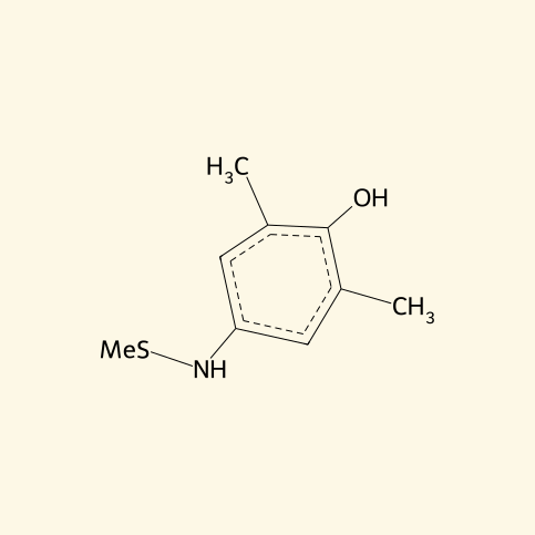 CSNc1cc(C)c(O)c(C)c1